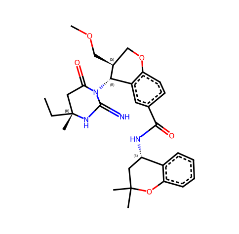 CC[C@]1(C)CC(=O)N([C@H]2c3cc(C(=O)N[C@H]4CC(C)(C)Oc5ccccc54)ccc3OC[C@@H]2COC)C(=N)N1